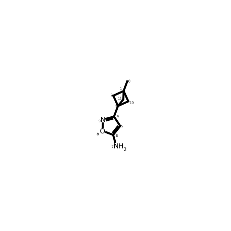 CC12CC(c3cc(N)on3)(C1)C2